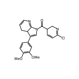 COc1ccc(C2=CN(C(=O)C3C=CC(Cl)=NC3)C3=NC=CCC23)cc1OC